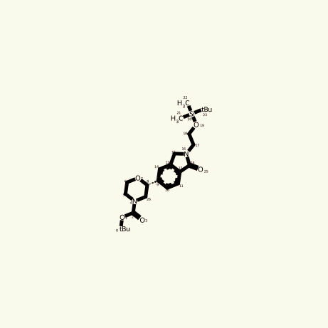 CC(C)(C)OC(=O)N1CCO[C@H](c2ccc3c(c2)CN(CCO[Si](C)(C)C(C)(C)C)C3=O)C1